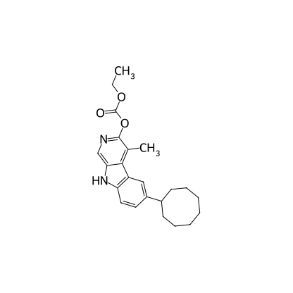 CCOC(=O)Oc1ncc2[nH]c3ccc(C4CCCCCCC4)cc3c2c1C